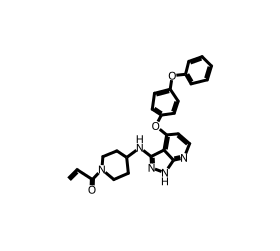 C=CC(=O)N1CCC(Nc2n[nH]c3nccc(Oc4ccc(Oc5ccccc5)cc4)c23)CC1